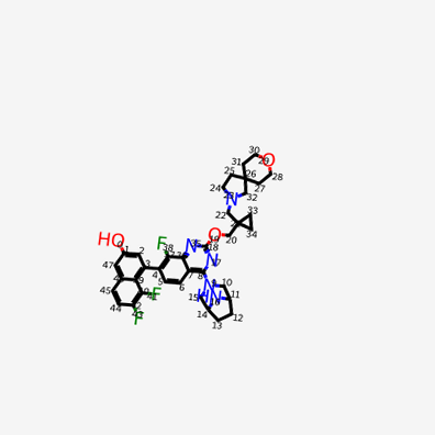 Oc1cc(-c2ccc3c(N4CC5CCC(C4)N5)nc(OCC4(CN5CCC6(CCOCC6)C5)CC4)nc3c2F)c2c(F)c(F)ccc2c1